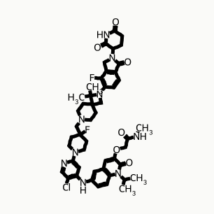 CNC(=O)COc1cc2cc(Nc3cc(N4CCC(F)(CN5CCC6(CC5)CN(c5ccc7c(c5F)CN(C5CCC(=O)NC5=O)C7=O)C6(C)C)CC4)ncc3Cl)ccc2n(C(C)C)c1=O